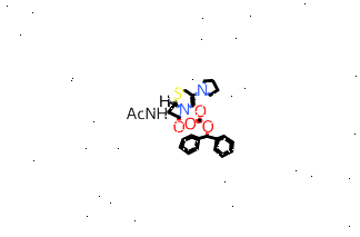 CC(=O)NC1C(=O)N2C(OC(=O)OC(c3ccccc3)c3ccccc3)=C(N3CCCC3)CS[C@@H]12